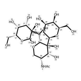 CC(=O)N[C@@H]1CO[C@H](C(O)[C@]2(O)[C@@H](O)O[C@H](CO)[C@H](O)[C@@H]2O)[C@](O)([C@@H]2O[C@H](CO)[C@H](O)[C@H](O)[C@H]2O)[C@@H]1O